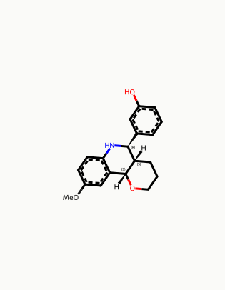 COc1ccc2c(c1)[C@H]1OCCC[C@H]1[C@H](c1cccc(O)c1)N2